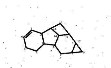 C1=CC2C(CC1)C1CC3CC3C3CC2C31